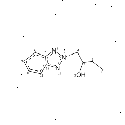 CCC(O)Cn1nc2ccccc2n1